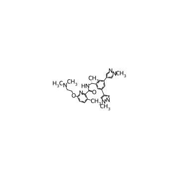 Cc1ccc(OCCN(C)C)nc1C(=O)N[C@H](C)c1cc(-c2cnn(C)c2)cc(-c2cnn(C)c2)c1